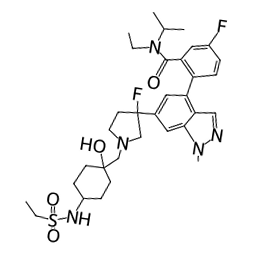 CCN(C(=O)c1cc(F)ccc1-c1cc(C2(F)CCN(CC3(O)CCC(NS(=O)(=O)CC)CC3)C2)cc2c1cnn2C)C(C)C